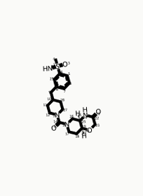 CS(=N)(=O)c1cccc(CC2CCN(C(=O)N3CC[C@@H]4OCC(=O)N[C@@H]4C3)CC2)c1